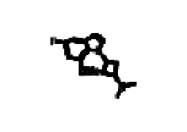 COc1cc(F)cc2ccn(C3CC(N(C)C)C3)c12